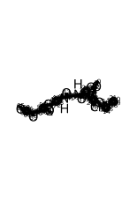 CCOC(=O)COc1cc(OCc2cccc(-c3ccccc3)c2C)c(Cl)cc1CN1CCCCC1C(=O)NCCCC(=O)NCc1ccc(COc2ccc(/C=C/C(=O)c3ccc(OC)cc3)cc2OC)cc1